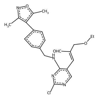 CCOC/C(C=O)=C/c1cnc(Cl)nc1NCc1ccc(-c2c(C)noc2C)cc1